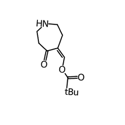 CC(C)(C)C(=O)OC=C1CCNCCC1=O